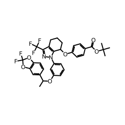 CC(Oc1cccc(-n2nc(C(F)(F)F)c3c2C(Oc2ccc(C(=O)OC(C)(C)C)cc2)CCC3)c1)c1ccc2c(c1)OC(F)(F)O2